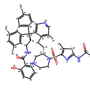 CC(=O)Nc1nc(S(=O)(=O)N2CCNC[C@@H]2CCc2c(F)cncc2[C@@](CCNC(=O)c2ccccc2O)(c2ccc(F)cc2)c2cc(F)cc(F)c2)c(C)s1